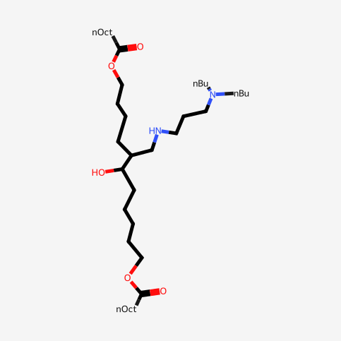 CCCCCCCCC(=O)OCCCCCC(O)C(CCCCOC(=O)CCCCCCCC)CNCCCN(CCCC)CCCC